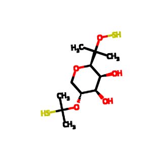 CC(C)(S)O[C@@H]1CO[C@@H](C(C)(C)OS)[C@@H](O)[C@H]1O